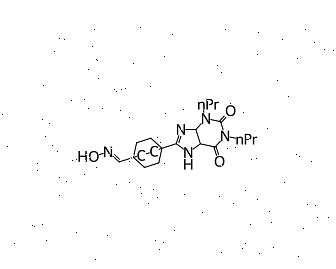 CCCN1C(=O)C2NC(C34CCC(/C=N/O)(CC3)CC4)=NC2N(CCC)C1=O